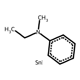 CCN(C)c1ccccc1.[Sn]